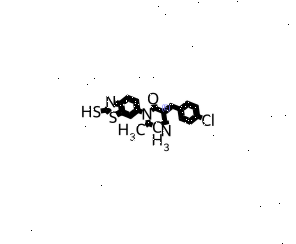 CC(C)N(C(=O)/C(C#N)=C/c1ccc(Cl)cc1)c1ccc2nc(S)sc2c1